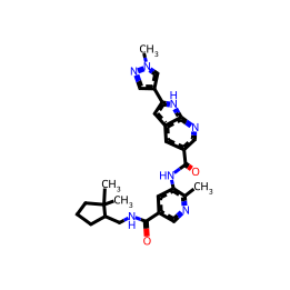 Cc1ncc(C(=O)NCC2CCCC2(C)C)cc1NC(=O)c1cnc2[nH]c(-c3cnn(C)c3)cc2c1